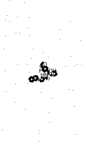 O=C(N[C@H](CN1CCCC1)[C@H](O)c1cc(F)c2c(c1)OCCO2)[C@@H]1CCN(c2ccc3ccccc3c2)C1